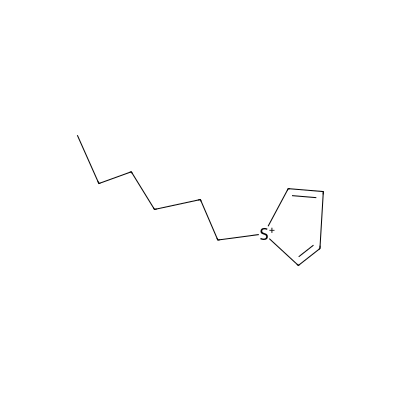 CCCCCC[s+]1cccc1